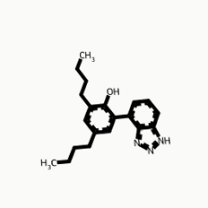 CCCCc1cc(CCCC)c(O)c(-c2cccc3[nH]nnc23)c1